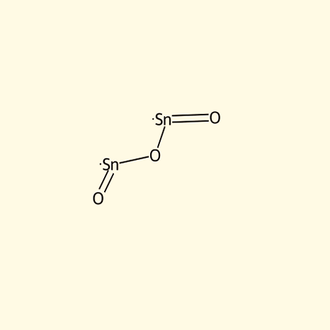 [O]=[Sn][O][Sn]=[O]